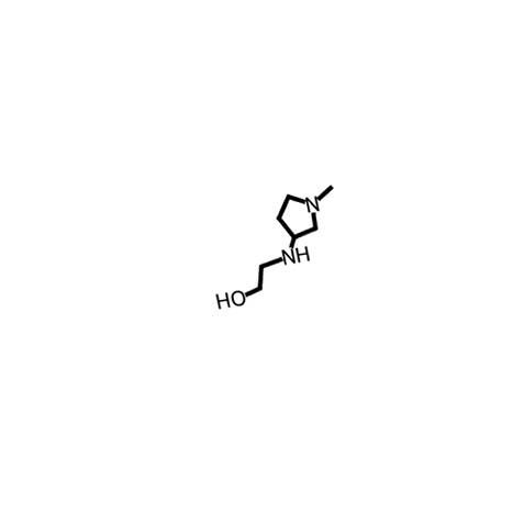 CN1CCC(NCCO)C1